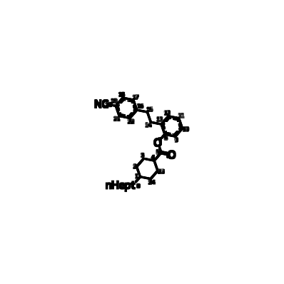 CCCCCCCC1CCC(C(=O)Oc2ccccc2CCc2ccc(C#N)cc2)CC1